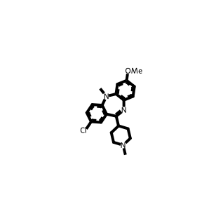 COc1ccc2c(c1)N(C)c1ccc(Cl)cc1C(C1CCN(C)CC1)=N2